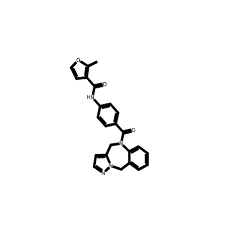 Cc1occc1C(=O)Nc1ccc(C(=O)N2Cc3ccnn3Cc3ccccc32)cc1